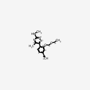 C#Cc1ccc(-c2nnc(NC)nc2C)c(OCOCC)c1